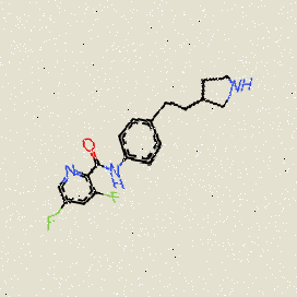 O=C(Nc1ccc(CCC2CCNC2)cc1)c1ncc(F)cc1F